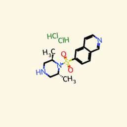 C[C@@H]1CNC[C@@H](C)N1S(=O)(=O)c1ccc2cnccc2c1.Cl.Cl